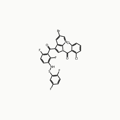 O=C(c1c(F)ccc(NSc2cc(F)ccc2F)c1F)c1cn(C(=O)c2c(Cl)cccc2Cl)c2ncc(Br)cc12